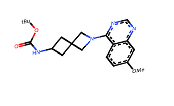 COc1ccc2c(N3CC4(CC(NC(=O)OC(C)(C)C)C4)C3)ncnc2c1